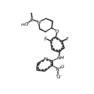 CB(O)N1CCC(Oc2c(F)cc(Nc3ncccc3[N+](=O)[O-])cc2F)CC1